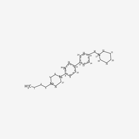 CCCCN1CCN(c2ccc(-c3ccc(CN4CCCCC4)cc3)cn2)CC1